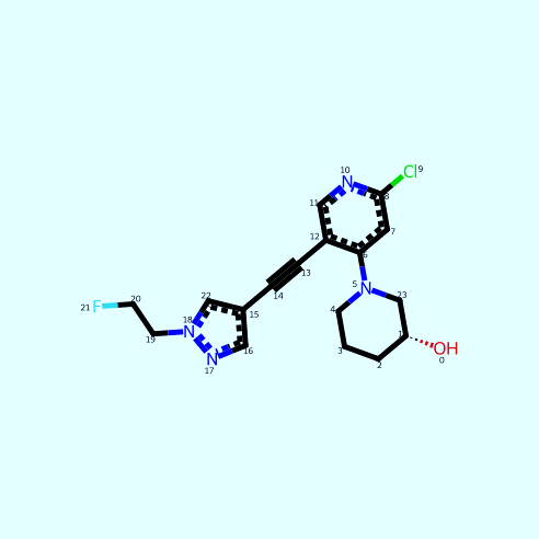 O[C@@H]1CCCN(c2cc(Cl)ncc2C#Cc2cnn(CCF)c2)C1